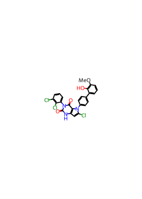 COc1cccc(-c2ccc(-n3c(Cl)cc4[nH]c(=O)n(-c5cccc(Cl)c5Cl)c(=O)c43)cc2)c1O